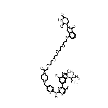 Cc1nc2c(F)cc(-c3nc(Nc4ccc(CN5CCN(C(=O)COCCOCCOCCOCCSc6cccc7c6CN(C6CCC(=O)NC6=O)C7=O)CC5)cn4)ncc3F)cc2n1C(C)C